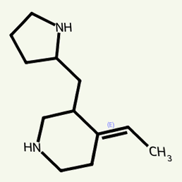 C/C=C1\CCNCC1CC1CCCN1